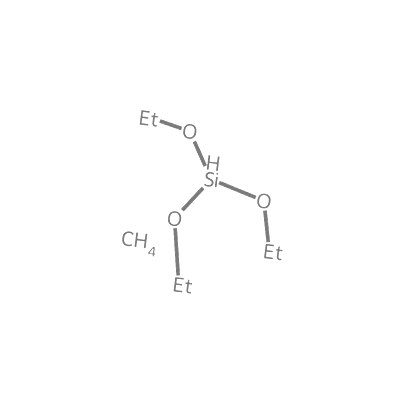 C.CCO[SiH](OCC)OCC